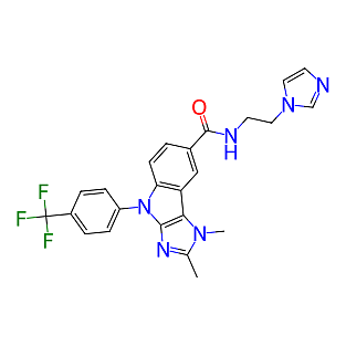 Cc1nc2c(c3cc(C(=O)NCCn4ccnc4)ccc3n2-c2ccc(C(F)(F)F)cc2)n1C